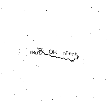 CCCCC/C=C\C/C=C\CCCCCCCCC(O)CCO[Si](C)(C)C(C)(C)C